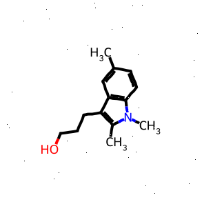 Cc1ccc2c(c1)c(CCCO)c(C)n2C